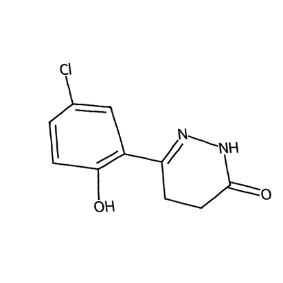 O=C1CCC(c2cc(Cl)ccc2O)=NN1